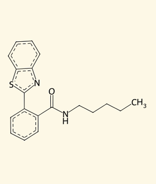 CCCCCNC(=O)c1ccccc1-c1nc2ccccc2s1